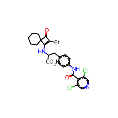 CCC1=C(NC(Cc2ccc(NC(=O)c3c(Cl)cncc3Cl)cc2)C(=O)O)C2(CCCCC2)C1=O